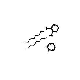 CC(C)CCCCCCOC(=O)c1ccccc1C(=O)OCCCCCCC(C)C.O=C(O)c1ccccc1C(=O)O